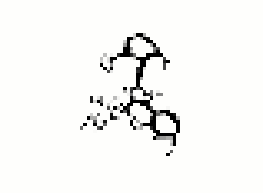 CC1(C)Oc2cc(I)ccc2-c2[nH]c(-c3c(F)cccc3Cl)nc21